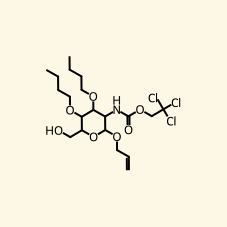 C=CCOC1OC(CO)C(OCCCC)C(OCCCC)C1NC(=O)OCC(Cl)(Cl)Cl